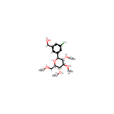 CCCCOC[C@H]1OC(c2cc(F)cc(CO)c2)[C@H](OCCCC)C(OCCCC)[C@@H]1OCCCC